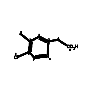 Cc1cc(CC(=O)O)ncc1Cl